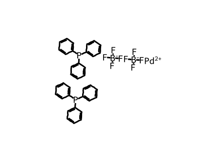 F[B-](F)(F)F.F[B-](F)(F)F.[Pd+2].c1ccc(P(c2ccccc2)c2ccccc2)cc1.c1ccc(P(c2ccccc2)c2ccccc2)cc1